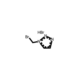 Br.BrCn1ccnn1